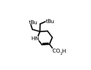 CC(C)(C)CC1(CC(C)(C)C)CCC(C(=O)O)=CN1